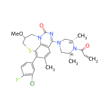 C=CC(=O)N1[C@H](C)CN(c2nc(=O)n3c4c(c(-c5ccc(F)c(Cl)c5)c(C)cc24)SCC(OC)C3)C[C@@H]1C